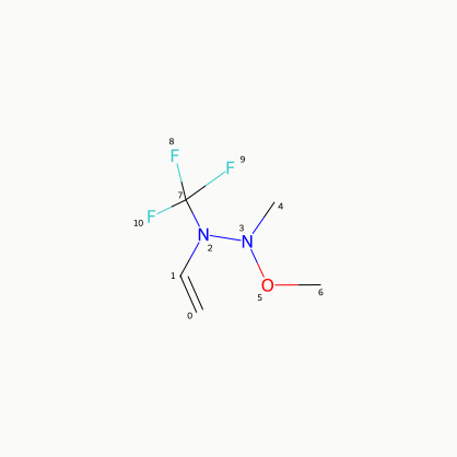 C=CN(N(C)OC)C(F)(F)F